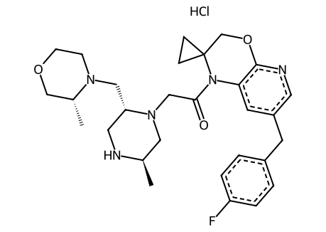 C[C@@H]1CN(CC(=O)N2c3cc(Cc4ccc(F)cc4)cnc3OCC23CC3)[C@@H](CN2CCOC[C@H]2C)CN1.Cl